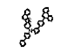 c1ccc(-c2ccc(N(c3cccc(-c4ccc(-c5cc6ccccc6c6ccccc56)cc4)c3)c3ccc4c(c3)oc3c5ccccc5ccc43)cc2)cc1